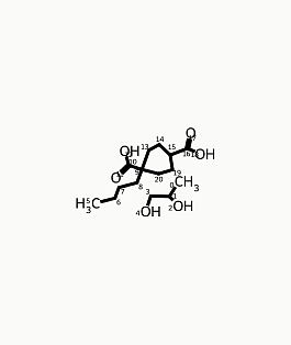 CC(O)CO.CCCCC1(C(=O)O)CCC(C(=O)O)CC1